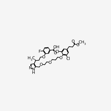 COC(=O)CCc1cc(Cl)c(OCCCOCCOCc2[nH]ncc2C(C)CCOc2cc(C(=O)O)ccc2F)c(Cl)c1